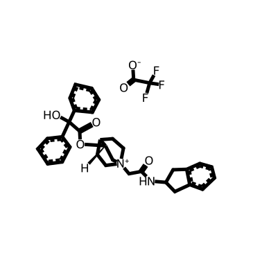 O=C(C[N+]12CCC(CC1)[C@@H](OC(=O)C(O)(c1ccccc1)c1ccccc1)C2)NC1Cc2ccccc2C1.O=C([O-])C(F)(F)F